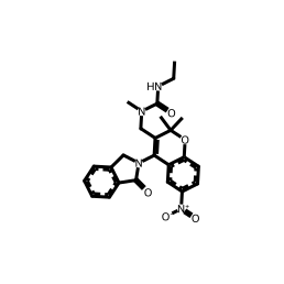 CCNC(=O)N(C)CC1=C(N2Cc3ccccc3C2=O)c2cc([N+](=O)[O-])ccc2OC1(C)C